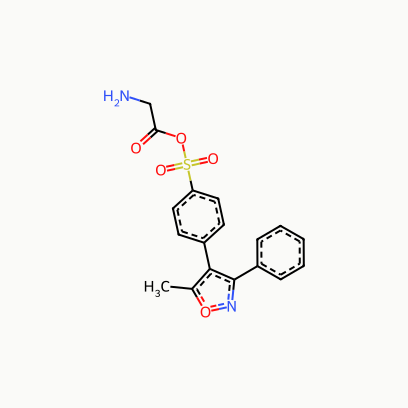 Cc1onc(-c2ccccc2)c1-c1ccc(S(=O)(=O)OC(=O)CN)cc1